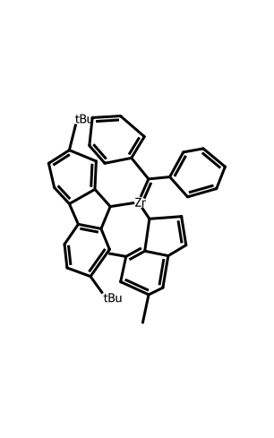 Cc1cc(C)c2c(c1)C=C[CH]2[Zr](=[C](c1ccccc1)c1ccccc1)[CH]1c2cc(C(C)(C)C)ccc2-c2ccc(C(C)(C)C)cc21